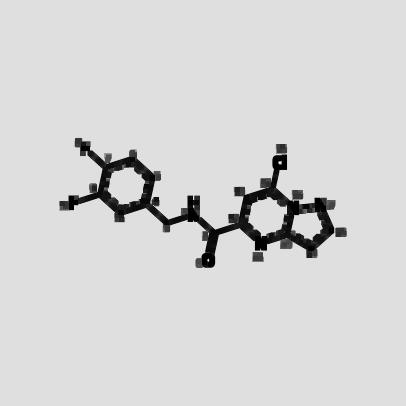 O=C(NCc1ccc(F)c(F)c1)c1cc(Cl)n2nccc2n1